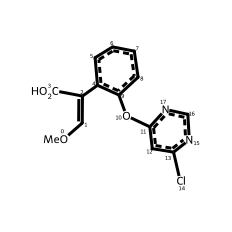 COC=C(C(=O)O)c1ccccc1Oc1cc(Cl)ncn1